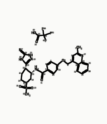 Cc1cc(COc2ccc(C(=O)N[C@@H]3CN(S(C)(=O)=O)CC[C@@H]3c3n[nH]c(=S)[nH]3)cc2)c2ccccc2n1.O=C(O)C(F)(F)F